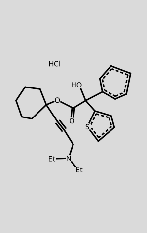 CCN(CC)CC#CC1(OC(=O)C(O)(c2ccccc2)c2cccs2)CCCCC1.Cl